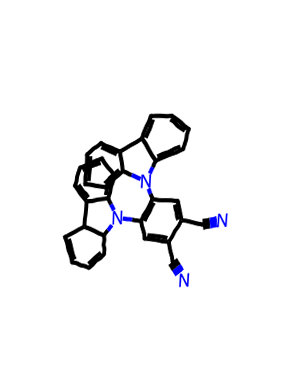 N#Cc1cc(N2c3ccccc3C3C=CC=CC32)c(-n2c3ccccc3c3ccccc32)cc1C#N